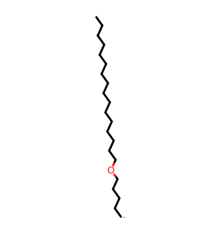 [CH2]CCCCOCCCCCCCCCCCCCCCC